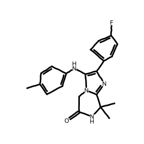 Cc1ccc(Nc2c(-c3ccc(F)cc3)nc3n2CC(=O)NC3(C)C)cc1